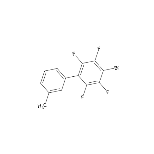 Cc1cccc(-c2c(F)c(F)c(Br)c(F)c2F)c1